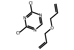 C=CCOCC=C.Clc1ncnc(Cl)n1